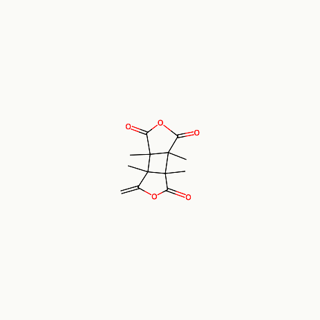 C=C1OC(=O)C2(C)C1(C)C1(C)C(=O)OC(=O)C21C